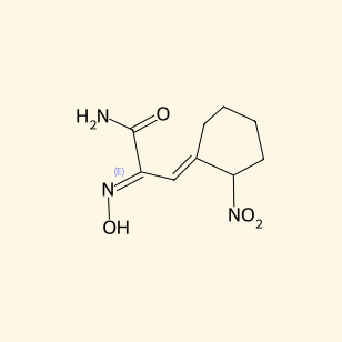 NC(=O)/C(C=C1CCCCC1[N+](=O)[O-])=N/O